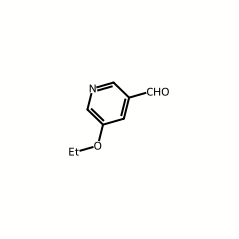 CCOc1cncc(C=O)c1